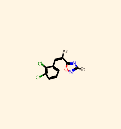 CCc1noc(C(=Cc2cccc(Cl)c2Cl)C(C)=O)n1